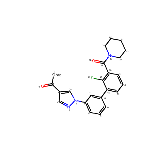 COC(=O)c1cnn(-c2cccc(-c3cccc(C(=O)N4CCCCC4)c3F)c2)c1